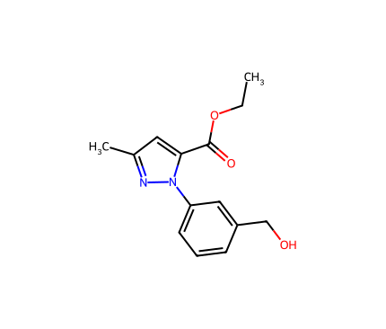 CCOC(=O)c1cc(C)nn1-c1cccc(CO)c1